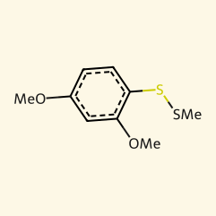 COc1ccc(SSC)c(OC)c1